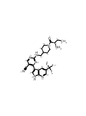 CC[C@@H](N)C(=O)N1CCC(CNc2ncc(C#N)c(-c3c[nH]c4ncc(C(F)(F)F)cc34)n2)CC1